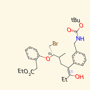 CCOC(=O)Cc1ccccc1O[C@H](CBr)C(C)C/C(=C(/O)CC)c1cccc(CNC(=O)OC(C)(C)C)c1